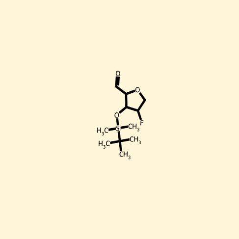 CC(C)(C)[Si](C)(C)OC1C(F)COC1C=O